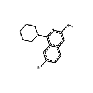 Nc1nc(N2CCCCC2)c2cc(Br)ccc2n1